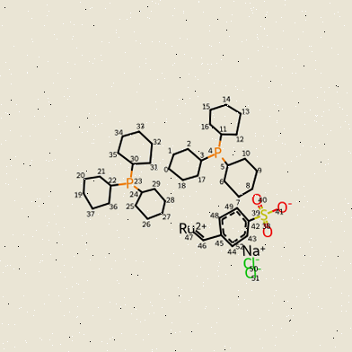 C1CCC(P(C2CCCCC2)C2CCCCC2)CC1.C1CCC(P(C2CCCCC2)C2CCCCC2)CC1.O=S(=O)([O-])c1ccc([CH]=[Ru+2])cc1.[Cl-].[Cl-].[Na+]